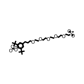 CC(C)(C)c1cc(CCCOCCOCCOCCOCCOCCS(C)(=O)=O)cc(C(C)(C)C)c1OC(=O)O